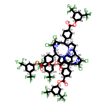 O=C(Oc1cc(C(F)(F)F)cc(C(F)(F)F)c1)c1ccc(/C2=C3N=C(C(Cl)=C/3Cl)/C(c3ccc(C(=O)Oc4cc(C(F)(F)F)cc(C(F)(F)F)c4)cc3)=c3/cc/c4n3Nn3c2ccc3/C(c2ccc(C(=O)Oc3cc(C(F)(F)F)cc(C(F)(F)F)c3)cc2)=C2N=C(C(Cl)=C\2Cl)/C=4c2ccc(C(=O)Oc3cc(C(F)(F)F)cc(C(F)(F)F)c3)cc2)cc1